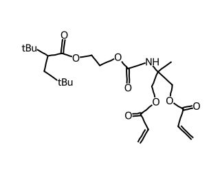 C=CC(=O)OCC(C)(COC(=O)C=C)NC(=O)OCCOC(=O)C(CC(C)(C)C)C(C)(C)C